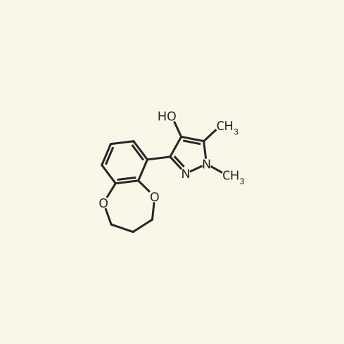 Cc1c(O)c(-c2cccc3c2OCCCO3)nn1C